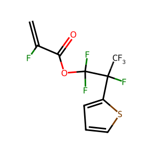 C=C(F)C(=O)OC(F)(F)C(F)(c1cccs1)C(F)(F)F